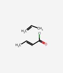 C/C=C/C(=O)Cl.C=CC